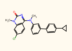 CN(c1cccc(-c2ccc(C3CC3)cc2)c1)c1nc(=O)n(C)c2cc(Cl)ccc12